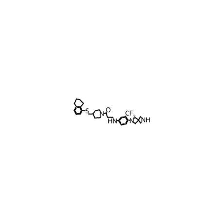 O=C(CCNc1ccc(N2CC3(CNC3)C2)c(C(F)(F)F)c1)N1CCC(CSc2cccc3c2CCCC3)CC1